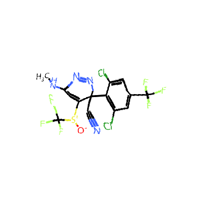 CNC1=C([S+]([O-])C(F)(F)F)C(C#N)(c2c(Cl)cc(C(F)(F)F)cc2Cl)N=N1